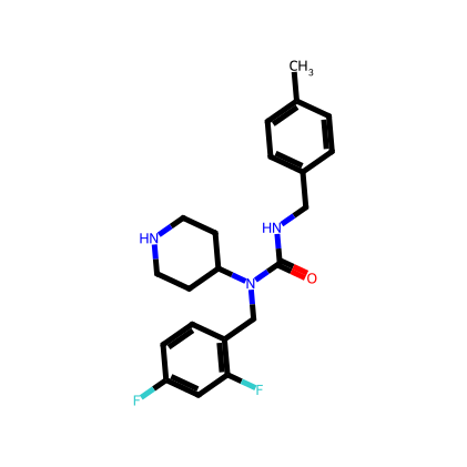 Cc1ccc(CNC(=O)N(Cc2ccc(F)cc2F)C2CCNCC2)cc1